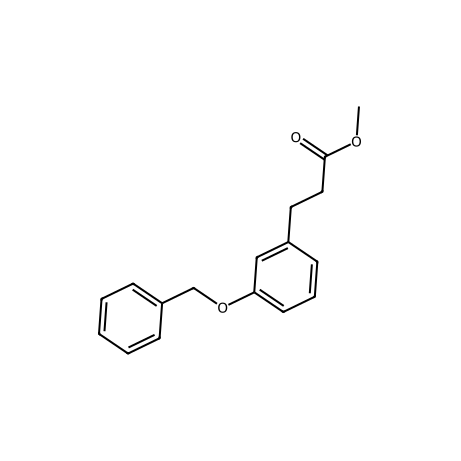 COC(=O)CCc1cccc(OCc2ccccc2)c1